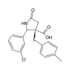 Cc1ccc(S[C@]2(C(=O)O)CC(=O)NC2c2cccc(Cl)c2)cc1